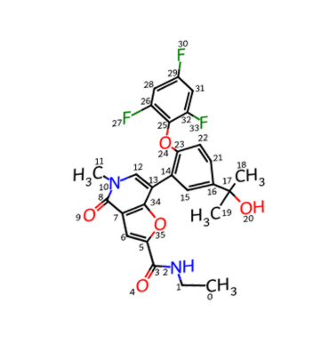 CCNC(=O)c1cc2c(=O)n(C)cc(-c3cc(C(C)(C)O)ccc3Oc3c(F)cc(F)cc3F)c2o1